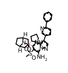 CS(=O)(=O)c1c([C@@H]2C[C@H]3CC[C@@H](C2)N3C(=O)[C@@H]2CCCN2)nc2c(-c3ccc(-c4ccccc4)nc3)cnn2c1N